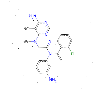 C=C1c2c(Cl)cccc2N=C(CN(CCC)c2ncnc(N)c2C#N)N1c1cccc(N)c1